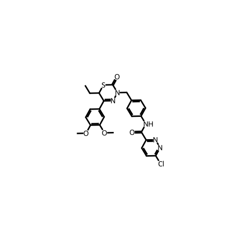 CCC1SC(=O)N(Cc2ccc(NC(=O)c3ccc(Cl)nn3)cc2)N=C1c1ccc(OC)c(OC)c1